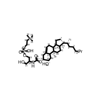 CC(C)CCC[C@@H](C)[C@H]1CCC2C3CC=C4C[C@@H](OC(=O)NC(CO)COP(=O)(O)OCC[N+](C)(C)C)CC[C@]4(C)C3CC[C@@]21C.[OH-]